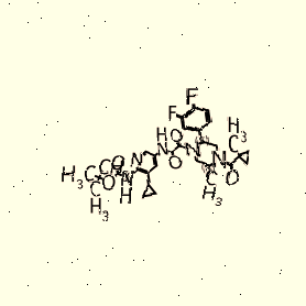 C[C@@H]1CN(C(=O)C(=O)Nc2cnc(NC(=O)OC(C)(C)C)c(C3CC3)c2)[C@@H](c2ccc(F)c(F)c2)CN1C(=O)C1(C)CC1